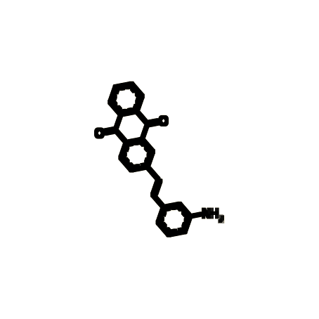 Nc1cccc(/C=C/c2ccc3c(c2)C(=O)c2ccccc2C3=O)c1